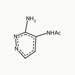 CC(=O)Nc1ccnnc1N